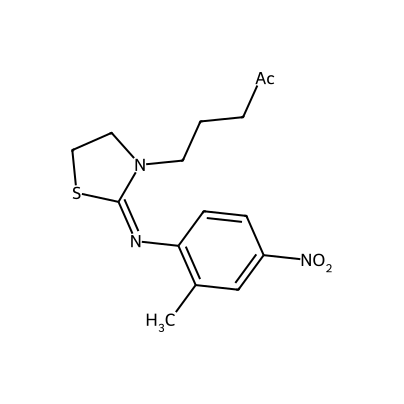 CC(=O)CCCN1CCSC1=Nc1ccc([N+](=O)[O-])cc1C